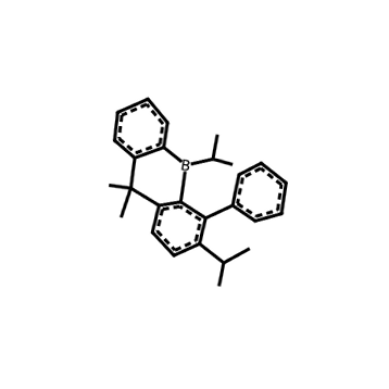 CC(C)B1c2ccccc2C(C)(C)c2ccc(C(C)C)c(-c3ccccc3)c21